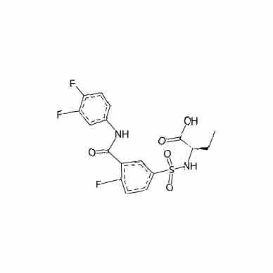 CC[C@@H](NS(=O)(=O)c1ccc(F)c(C(=O)Nc2ccc(F)c(F)c2)c1)C(=O)O